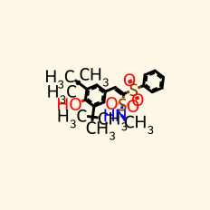 CNS(=O)(=O)C(=Cc1cc(C(C)(C)C)c(O)c(C(C)(C)C)c1)S(=O)(=O)c1ccccc1